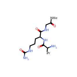 CNC(=O)CNC(=O)C(CCCNC(N)=O)NC(=O)C(N)C(C)C